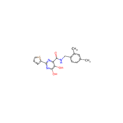 Cc1ccc(CNC(=O)c2nc(-c3cccs3)nc(O)c2O)c(C)c1